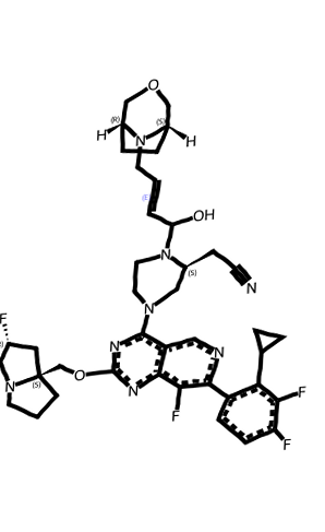 N#CC[C@H]1CN(c2nc(OC[C@@]34CCCN3C[C@H](F)C4)nc3c(F)c(-c4ccc(F)c(F)c4C4CC4)ncc23)CCN1C(O)/C=C/CN1[C@@H]2CC[C@H]1COC2